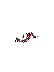 Cn1cc(-c2cc3cccc(-c4cc(C5CCN(CC6CCN(c7ccc(C(=O)NC8CCC(Oc9ccc(C#N)c(Cl)c9)CC8)nn7)CC6)CC5)c5c(c4)n(C)c(=O)n5C)c3cn2)cn1